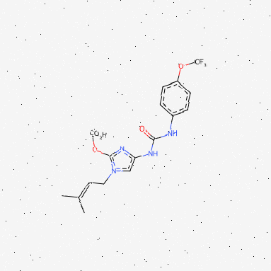 CC(C)=CCn1cc(NC(=O)Nc2ccc(OC(F)(F)F)cc2)nc1OC(=O)O